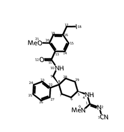 CN/C(=N\C#N)N[C@H]1CC[C@](CNC(=O)c2ccc(CI)cc2OC)(c2ccccc2)CC1